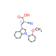 COc1ccccc1-n1cc(/C=C(\C#N)C(=O)O)c2ccccc21